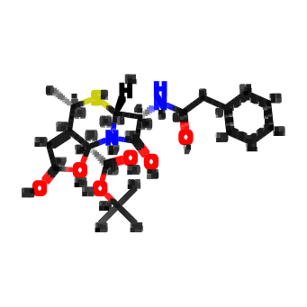 C[C@@H]1S[C@@H]2[C@H](NC(=O)Cc3ccccc3)C(=O)N2[C@@]2(C(=O)OC(C)(C)C)OC(=O)C=C12